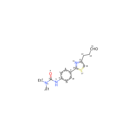 CCN(CC)C(=O)Nc1ccc(-c2nc(CCC=O)cs2)cc1